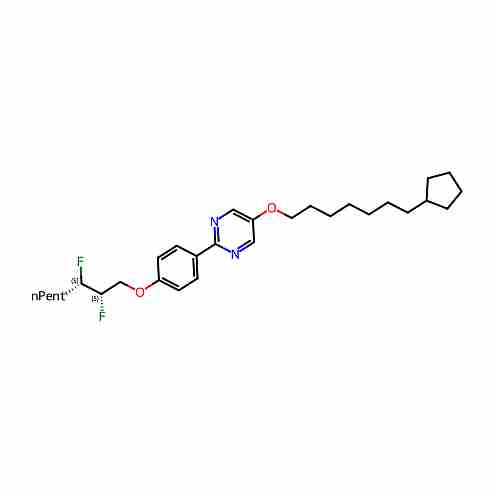 CCCCC[C@H](F)[C@@H](F)COc1ccc(-c2ncc(OCCCCCCCC3CCCC3)cn2)cc1